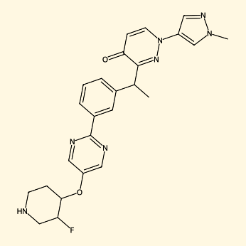 CC(c1cccc(-c2ncc(OC3CCNCC3F)cn2)c1)c1nn(-c2cnn(C)c2)ccc1=O